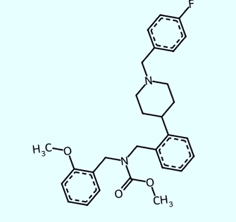 COC(=O)N(Cc1ccccc1OC)Cc1ccccc1C1CCN(Cc2ccc(F)cc2)CC1